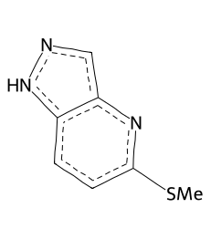 CSc1ccc2[nH]ncc2n1